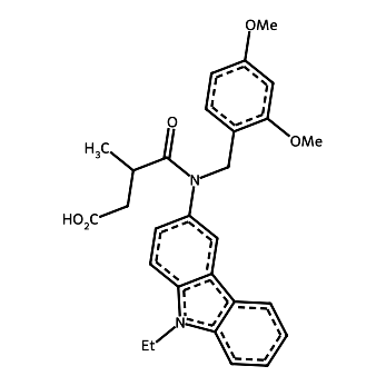 CCn1c2ccccc2c2cc(N(Cc3ccc(OC)cc3OC)C(=O)C(C)CC(=O)O)ccc21